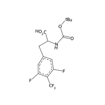 CC(C)(C)OC(=O)NC(Cc1cc(F)c(C(F)(F)F)c(F)c1)C(=O)O